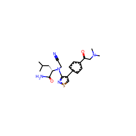 CC(C)C[C@@H](C(N)=O)N(CC#N)c1nscc1-c1ccc(C(=O)CN(C)C)cc1